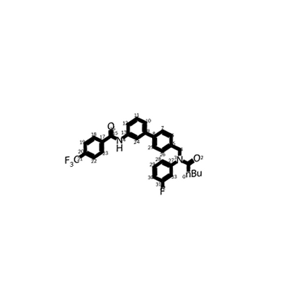 CCCCC(=O)N(Cc1ccc(-c2cccc(NC(=O)c3ccc(C(F)(F)F)cc3)c2)cc1)c1cccc(F)c1